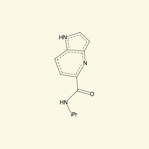 CC(C)NC(=O)c1ccc2[nH]ccc2n1